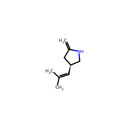 C=C1C[C@H](C=C(C)C)CN1